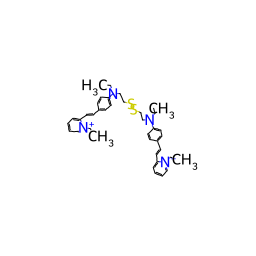 CCN(CCSSCCN(CC)c1ccc(/C=C/c2cccc[n+]2CC)cc1)c1ccc(/C=C/c2cccc[n+]2CC)cc1